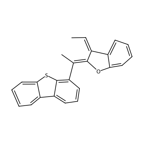 C/C=c1\c(=C(/C)c2cccc3c2sc2ccccc23)oc2ccccc12